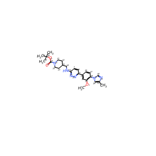 COc1cc(-c2ccc(NCC3CCN(C(=O)OC(C)(C)C)CC3)nn2)ccc1-n1cnc(C)c1